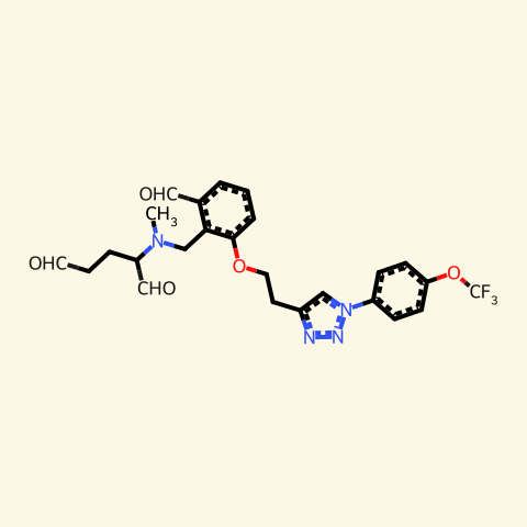 CN(Cc1c(C=O)cccc1OCCc1cn(-c2ccc(OC(F)(F)F)cc2)nn1)C(C=O)CCC=O